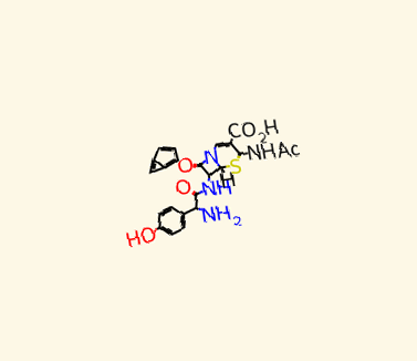 CC(=O)NC1S[C@@H]2C(NC(=O)C(N)c3ccc(O)cc3)C(=O)N2C=C1C(=O)O.c1cc2cc-2c1